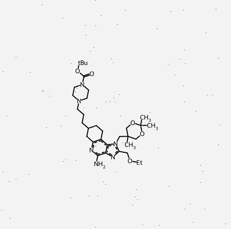 CCOCc1nc2c(N)nc3c(c2n1CC1(C)COC(C)(C)OC1)CCC(CCCN1CCN(C(=O)OC(C)(C)C)CC1)C3